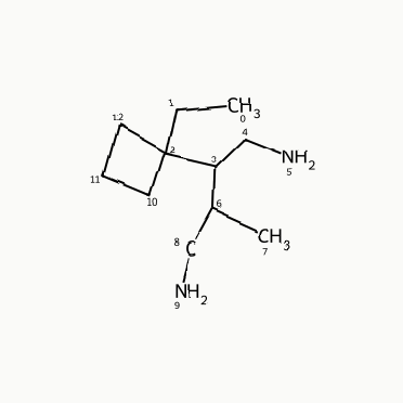 CCC1(C(CN)C(C)CN)CCC1